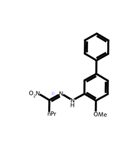 CCC/C(=N\Nc1cc(-c2ccccc2)ccc1OC)[N+](=O)[O-]